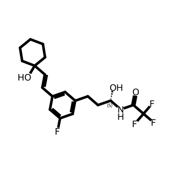 O=C(N[C@@H](O)CCc1cc(F)cc(C=CC2(O)CCCCC2)c1)C(F)(F)F